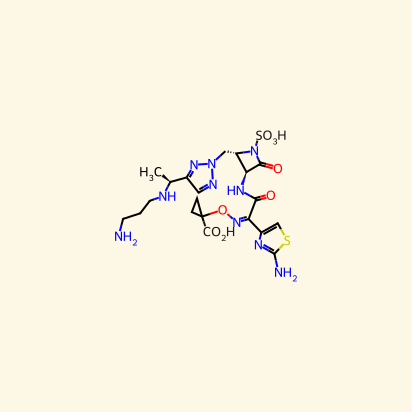 C[C@H](NCCCN)c1cnn(C[C@H]2[C@H](NC(=O)C(=NOC3(C(=O)O)CC3)c3csc(N)n3)C(=O)N2S(=O)(=O)O)n1